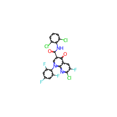 O=C(Nc1c(Cl)cccc1Cl)c1cn(-c2c(F)cc(F)cc2F)c2nc(Cl)c(F)cc2c1=O